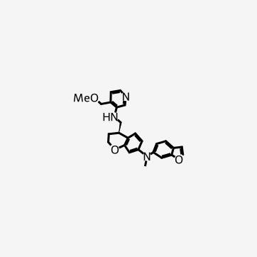 COCc1ccncc1NC[C@@H]1CCOc2cc(N(C)c3ccc4ccoc4c3)ccc21